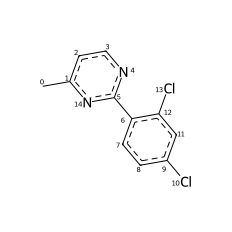 Cc1ccnc(-c2ccc(Cl)cc2Cl)n1